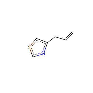 C=CCc1cscn1